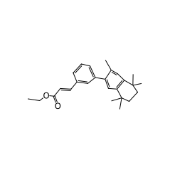 CCOC(=O)C=Cc1cccc(-c2cc3c(cc2C)C(C)(C)CCC3(C)C)c1